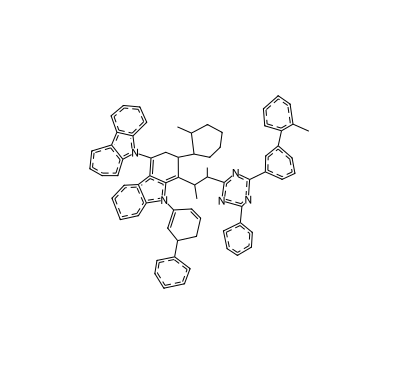 Cc1ccccc1-c1cccc(-c2nc(-c3ccccc3)nc(C(C)C(C)C3=c4c(c5ccccc5n4C4=CC(c5ccccc5)CC=C4)=C(n4c5ccccc5c5ccccc54)CC3C3CCCCC3C)n2)c1